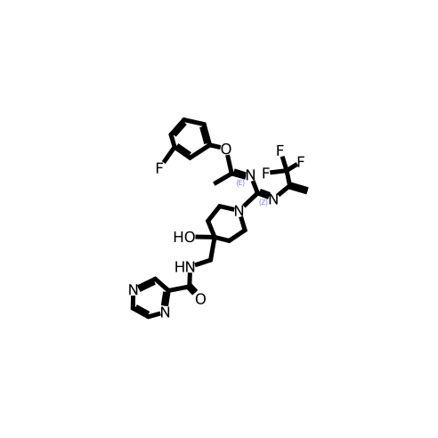 C=C(/N=C(\N=C(/C)Oc1cccc(F)c1)N1CCC(O)(CNC(=O)c2cnccn2)CC1)C(F)(F)F